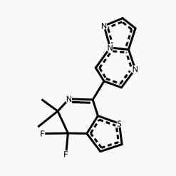 CC1(C)N=C(c2cnc3ccnn3c2)c2sccc2C1(F)F